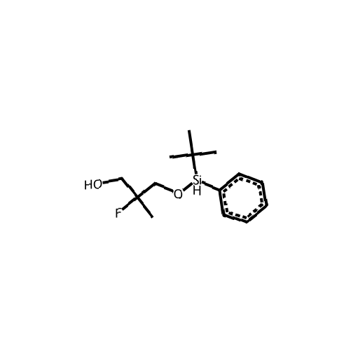 CC(F)(CO)CO[SiH](c1ccccc1)C(C)(C)C